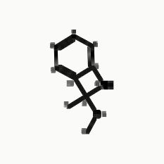 COC1(C)Nc2ccccc21